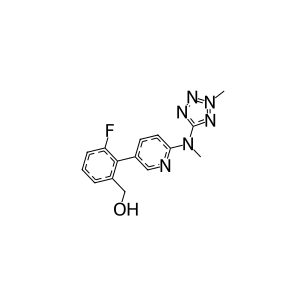 CN(c1ccc(-c2c(F)cccc2CO)cn1)c1nnn(C)n1